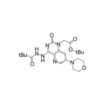 CC(C)(C)OC(=O)Cn1c(=O)nc(NNC(=O)C(C)(C)C)c2ncc(N3CCOCC3)cc21